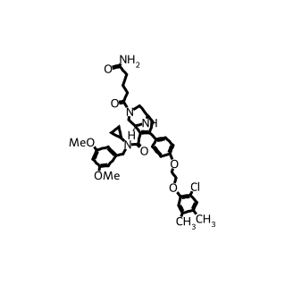 COc1cc(CN(C(=O)C2=C(c3ccc(OCCOc4cc(C)c(C)cc4Cl)cc3)CC3CN(C(=O)CCCC(N)=O)C[C@H]2N3)C2CC2)cc(OC)c1